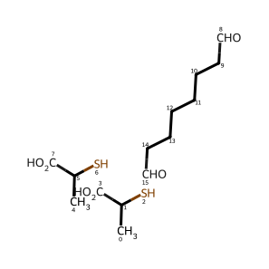 CC(S)C(=O)O.CC(S)C(=O)O.O=CCCCCCCC=O